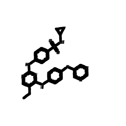 CCc1cnc(Nc2ccc(S(=O)(=O)NC3CC3)cc2)nc1Nc1ccc(Oc2cncnc2)cc1